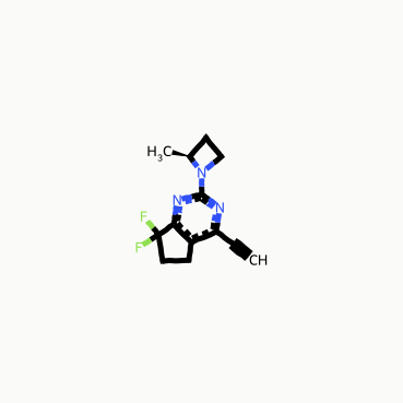 C#Cc1nc(N2CC[C@@H]2C)nc2c1CCC2(F)F